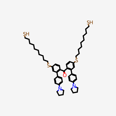 O=C(c1ccc(SCCCCCCCCCCS)cc1-c1ccc(N2CCCC2)cc1)c1ccc(SCCCCCCCCCCS)cc1-c1ccc(N2CCCC2)cc1